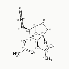 CC(=O)O[C@H]1[C@H](OC(C)=O)[C@@H](N=[N+]=[N-])C2OC[C@H]1O2